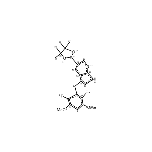 COc1cc(OC)c(F)c(Cc2c[nH]c3ncc(B4OC(C)(C)C(C)(C)O4)cc23)c1F